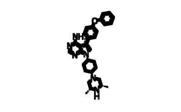 C[C@@H]1CN([C@H]2CC[C@@H](n3cc(-c4ccc(Oc5ccccc5)cc4)c4c(N)ncnc43)CC2)C[C@H](C)N1